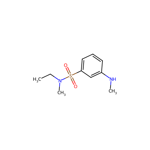 CCN(C)S(=O)(=O)c1cccc(NC)c1